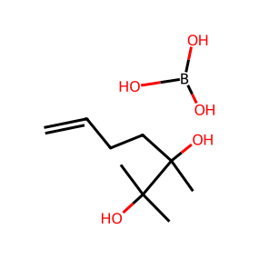 C=CCCC(C)(O)C(C)(C)O.OB(O)O